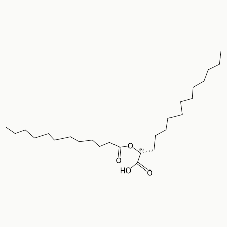 CCCCCCCCCCCC[C@@H](OC(=O)CCCCCCCCCCC)C(=O)O